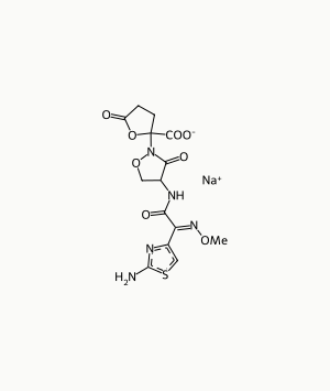 CON=C(C(=O)NC1CON(C2(C(=O)[O-])CCC(=O)O2)C1=O)c1csc(N)n1.[Na+]